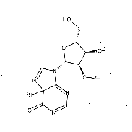 [2H]O[C@@H]1[C@H](O)[C@@H](CO)O[C@H]1N1C=NC2([2H])C(=O)N=CN=C12